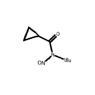 CC(C)(C)N(N=O)C(=O)C1CC1